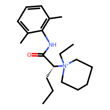 CCC[C@H](C(=O)Nc1c(C)cccc1C)[N+]1(CC)CCCCC1